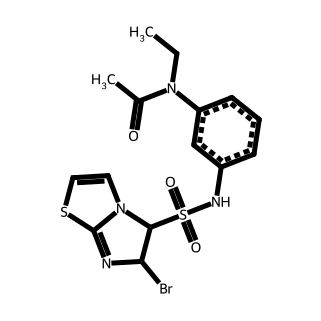 CCN(C(C)=O)c1cccc(NS(=O)(=O)C2C(Br)N=C3SC=CN32)c1